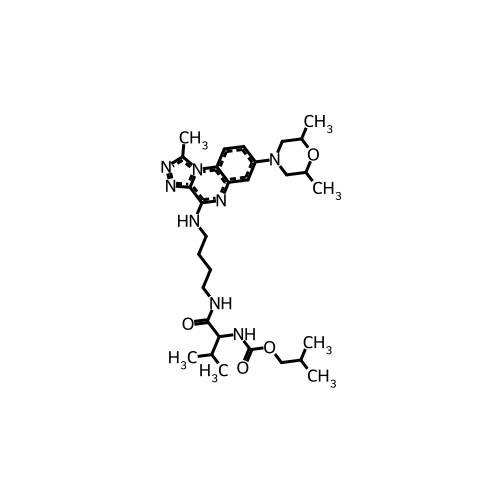 Cc1nnc2c(NCCCCNC(=O)C(NC(=O)OCC(C)C)C(C)C)nc3cc(N4CC(C)OC(C)C4)ccc3n12